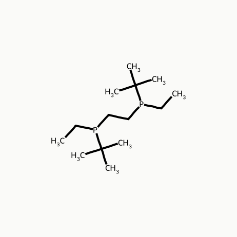 CCP(CCP(CC)C(C)(C)C)C(C)(C)C